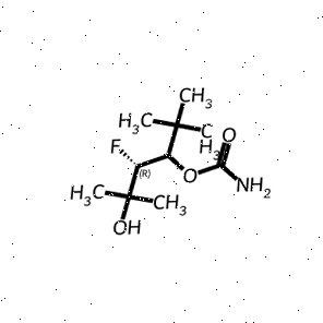 CC(C)(C)C(OC(N)=O)[C@@H](F)C(C)(C)O